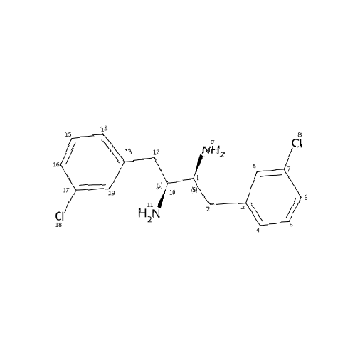 N[C@@H](Cc1cccc(Cl)c1)[C@@H](N)Cc1cccc(Cl)c1